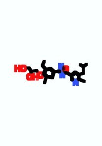 CCc1cc(-c2noc(-c3cnc(C)c(CC(C)C)c3)n2)cc(C)c1OCC(O)CO